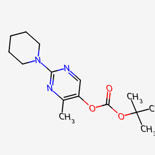 Cc1nc(N2CCCCC2)ncc1OC(=O)OC(C)(C)C